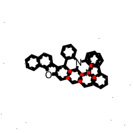 c1ccc(-c2ccccc2N(c2ccccc2-c2cccc3oc4c5ccccc5ccc4c23)c2ccccc2-n2c3ccccc3c3ccccc32)cc1